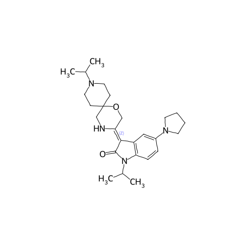 CC(C)N1CCC2(CC1)CN/C(=C1\C(=O)N(C(C)C)c3ccc(N4CCCC4)cc31)CO2